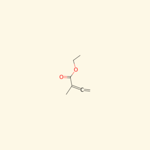 C=C=C(C)C(=O)OCC